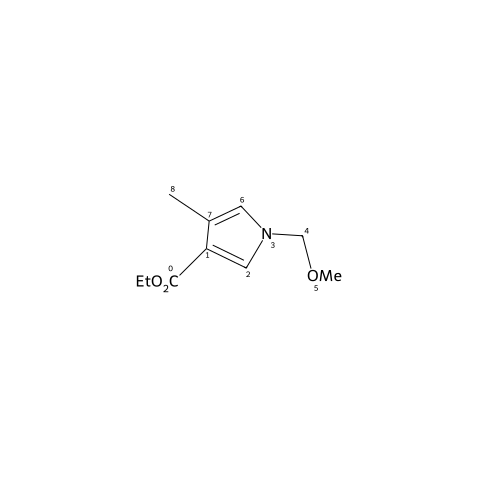 CCOC(=O)c1cn(COC)cc1C